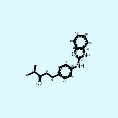 CC(C)C(=O)CCc1ccc(Nc2nc3ccccc3o2)cc1